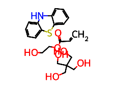 C=CC(=O)OCCO.OCC(CO)(CO)CO.c1ccc2c(c1)Nc1ccccc1S2